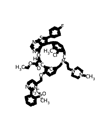 CCOC(=O)[C@H]1Cc2cc(ccc2OCc2ccnc(-c3ccccc3P(C)(C)=O)n2)CN(CCN2CCN(C)CC2)Cc2ccc(c(C)c2Cl)-c2c(-c3ccc(F)cc3)sc3ncnc(c23)O1